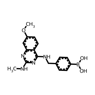 CNc1nc(NCc2ccc(B(O)O)cc2)c2ccc(OC)cc2n1